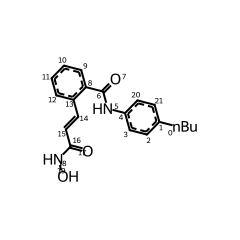 CCCCc1ccc(NC(=O)c2ccccc2C=CC(=O)NO)cc1